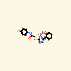 CCn1c(SCC(=O)Nc2ccc(F)cc2)nnc1-c1ccccc1Br